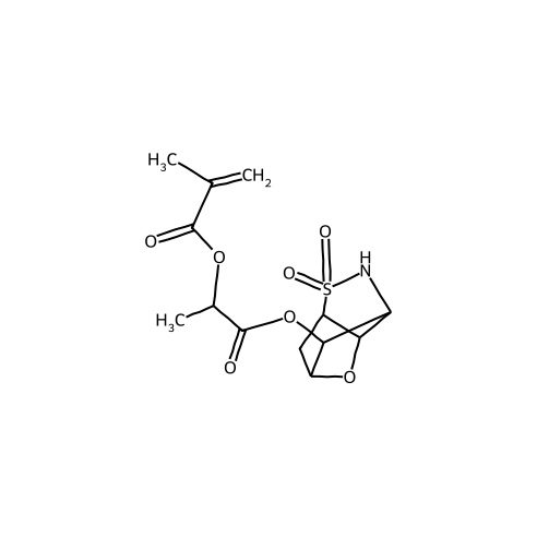 C=C(C)C(=O)OC(C)C(=O)OC1C2CC3C(O2)C1NS3(=O)=O